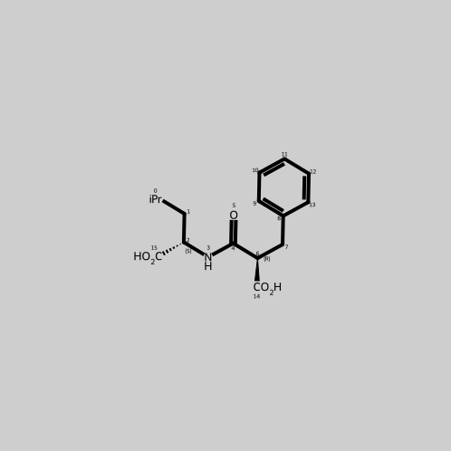 CC(C)C[C@H](NC(=O)[C@@H](Cc1ccccc1)C(=O)O)C(=O)O